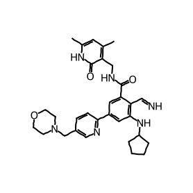 Cc1cc(C)c(CNC(=O)c2cc(-c3ccc(CN4CCOCC4)cn3)cc(NC3CCCC3)c2C=N)c(=O)[nH]1